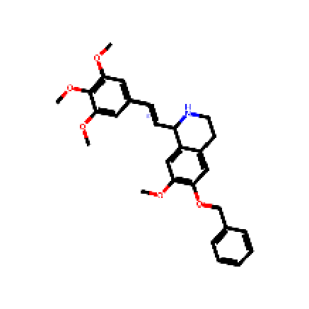 COc1cc2c(cc1OCc1ccccc1)CCNC2/C=C/c1cc(OC)c(OC)c(OC)c1